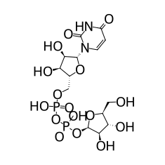 O=c1ccn([C@@H]2O[C@H](COP(=O)(O)OP(=O)(O)O[C@H]3O[C@@H](CO)[C@H](O)[C@H]3O)[C@@H](O)[C@H]2O)c(=O)[nH]1